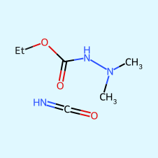 CCOC(=O)NN(C)C.N=C=O